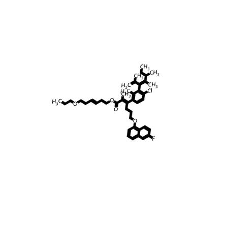 C=C(C)/C(=C(/C)C(C)CC)c1c(Cl)ccc(/C(CCCOc2cccc3cc(F)ccc23)=C(\C)C(=O)OCC/C=C/CCOCCC)c1C